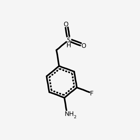 Nc1ccc(C[SH](=O)=O)cc1F